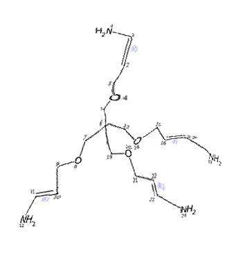 N/C=C\COCC(COC/C=C/N)(COC/C=C/N)COC/C=C/N